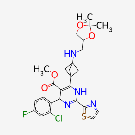 COC(=O)C1=C(C23CC(NCC4COC(C)(C)O4)(C2)C3)NC(c2nccs2)=NC1c1ccc(F)cc1Cl